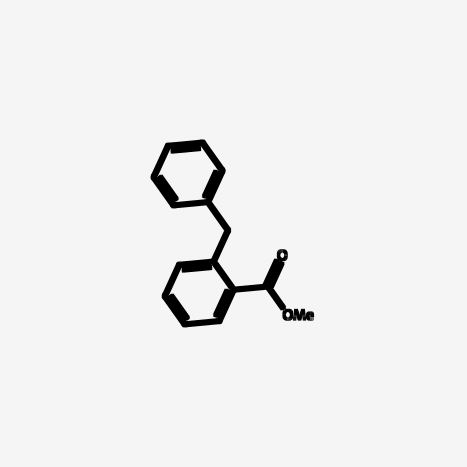 COC(=O)c1ccccc1Cc1ccccc1